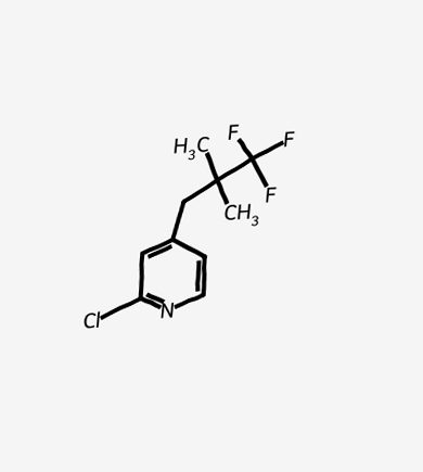 CC(C)(Cc1ccnc(Cl)c1)C(F)(F)F